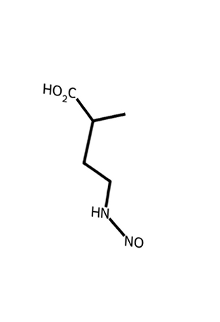 CC(CCNN=O)C(=O)O